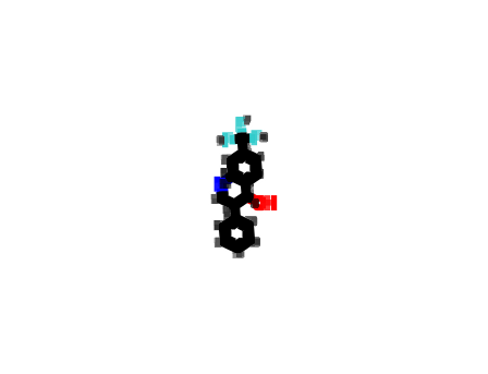 OC1c2ccc(C(F)(F)F)cc2N=CC1c1ccccc1